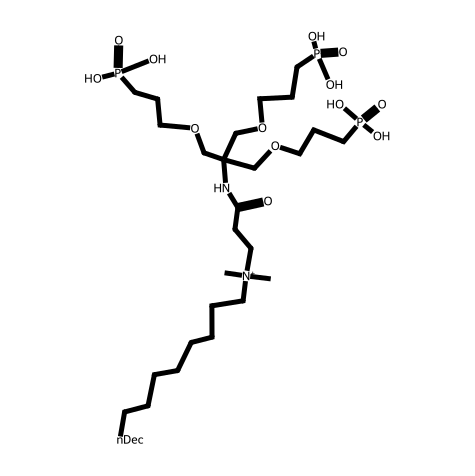 CCCCCCCCCCCCCCCCCC[N+](C)(C)CCC(=O)NC(COCCCP(=O)(O)O)(COCCCP(=O)(O)O)COCCCP(=O)(O)O